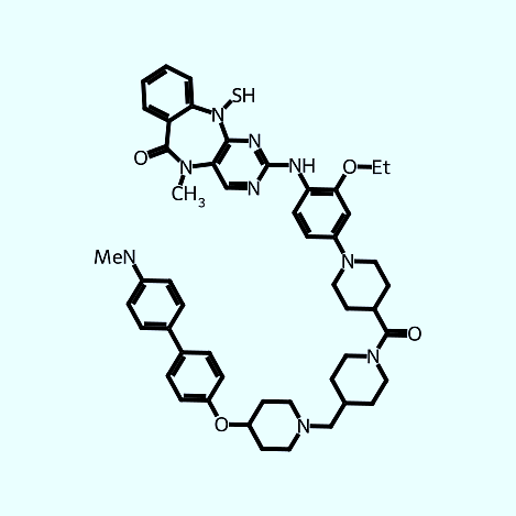 CCOc1cc(N2CCC(C(=O)N3CCC(CN4CCC(Oc5ccc(-c6ccc(NC)cc6)cc5)CC4)CC3)CC2)ccc1Nc1ncc2c(n1)N(S)c1ccccc1C(=O)N2C